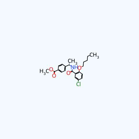 CCCCCOc1ccc(Cl)cc1C(=O)N[C@@H](C)c1ccc(C(=O)OC)cc1